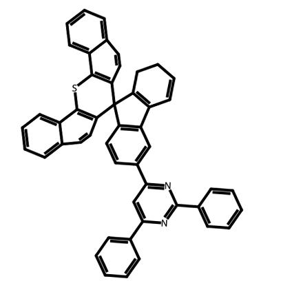 C1=CC2=C(CC1)C1(c3ccc(-c4cc(-c5ccccc5)nc(-c5ccccc5)n4)cc32)c2ccc3ccccc3c2Sc2c1ccc1ccccc21